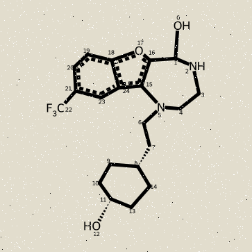 OC1NCCN(CC[C@H]2CC[C@@H](O)CC2)c2c1oc1ccc(C(F)(F)F)cc21